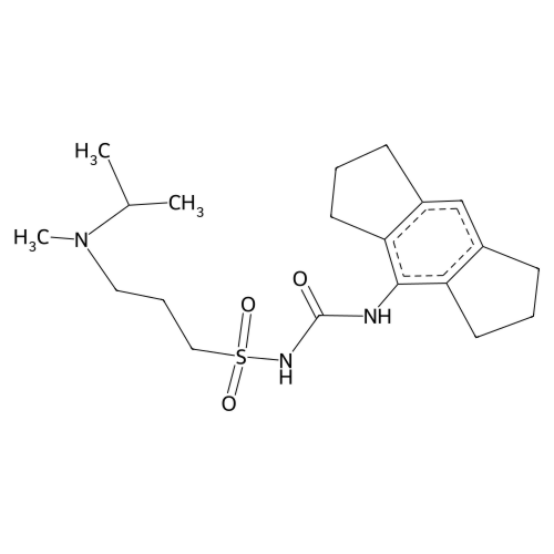 CC(C)N(C)CCCS(=O)(=O)NC(=O)Nc1c2c(cc3c1CCC3)CCC2